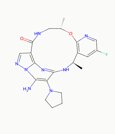 C[C@H]1CNC(=O)c2cnn3c(N)c(N4CCCC4)c(nc23)N[C@H](C)c2cc(F)cnc2O1